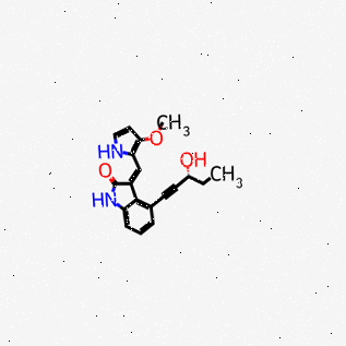 CC[C@@H](O)C#Cc1cccc2c1/C(=C/c1[nH]ccc1OC)C(=O)N2